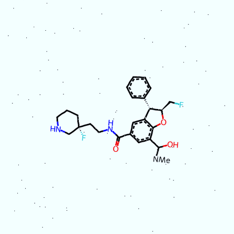 CNC(O)c1cc(C(=O)NCC[C@]2(F)CCCNC2)cc2c1O[C@H](CF)[C@H]2c1ccccc1